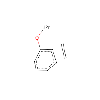 C=C.CC(C)Oc1ccccc1